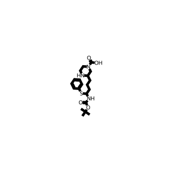 CC(C)(C)OC(=O)NC(CCCC1CN(C(=O)O)CCN1)Sc1ccccc1